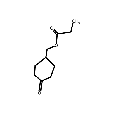 CCC(=O)OCC1CCC(=O)CC1